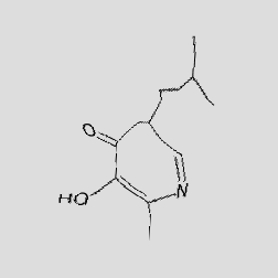 CC1=C(O)C(=O)C(CC(C)C)C=N1